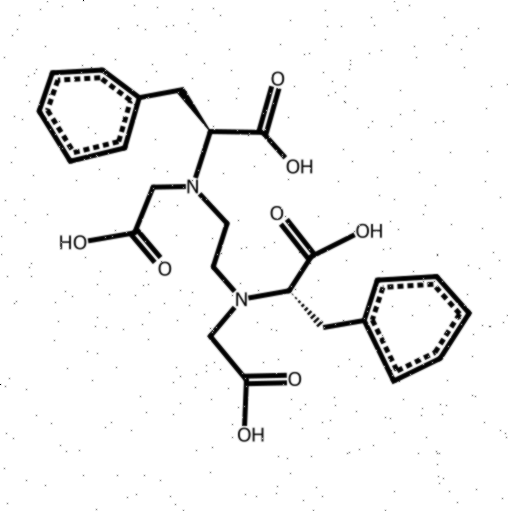 O=C(O)CN(CCN(CC(=O)O)[C@@H](Cc1ccccc1)C(=O)O)[C@@H](Cc1ccccc1)C(=O)O